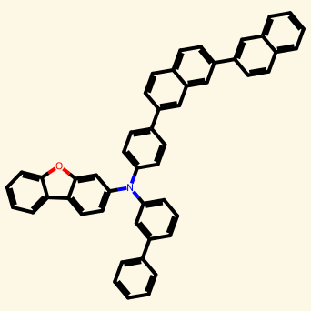 c1ccc(-c2cccc(N(c3ccc(-c4ccc5ccc(-c6ccc7ccccc7c6)cc5c4)cc3)c3ccc4c(c3)oc3ccccc34)c2)cc1